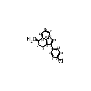 C=C1CCc2c(-c3ccc(Cl)cc3)cn3cccc1c23